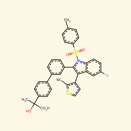 Cc1ccc(S(=O)(=O)n2c(-c3cccc(-c4ccc(C(C)(O)C(=O)O)cc4)c3)c(-c3ccsc3C#N)c3cc(F)ccc32)cc1